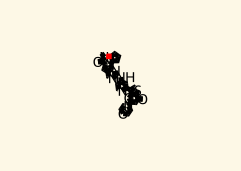 CN(C)C(=O)c1cc2cnc(Nc3ccnc(-c4csc5c(=O)cc(N6CCOCC6)oc45)c3)nc2n1C1CCCC1